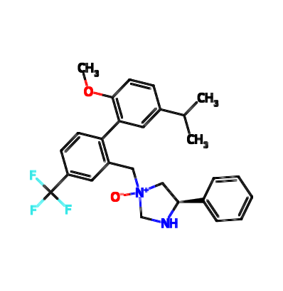 COc1ccc(C(C)C)cc1-c1ccc(C(F)(F)F)cc1C[N+]1([O-])CN[C@H](c2ccccc2)C1